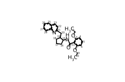 CCOc1cccc(OCC)c1C(=O)NC1CCCC1Cc1ccc2ccccc2n1